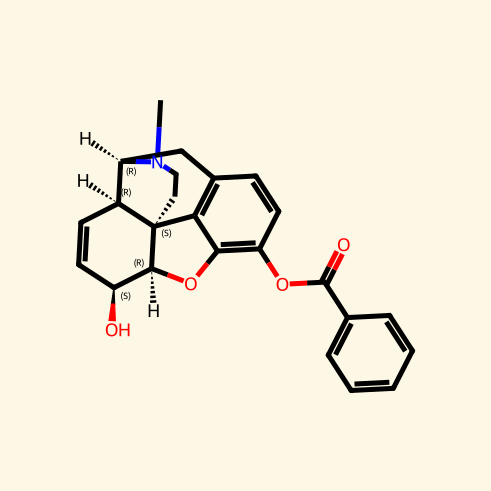 CN1CC[C@]23c4c5ccc(OC(=O)c6ccccc6)c4O[C@H]2[C@@H](O)C=C[C@H]3[C@H]1C5